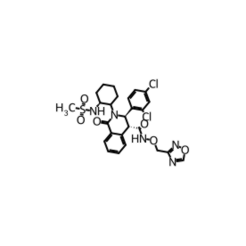 CS(=O)(=O)N[C@H]1CCCCC1N1C(=O)c2ccccc2[C@@H](C(=O)NOCc2ncon2)[C@@H]1c1ccc(Cl)cc1Cl